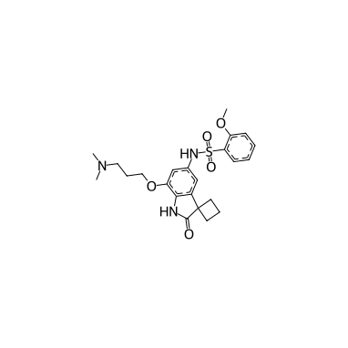 COc1ccccc1S(=O)(=O)Nc1cc(OCCCN(C)C)c2c(c1)C1(CCC1)C(=O)N2